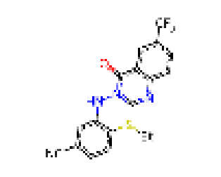 CCSc1ccc(C#N)cc1Nn1cnc2ccc(C(F)(F)F)cc2c1=O